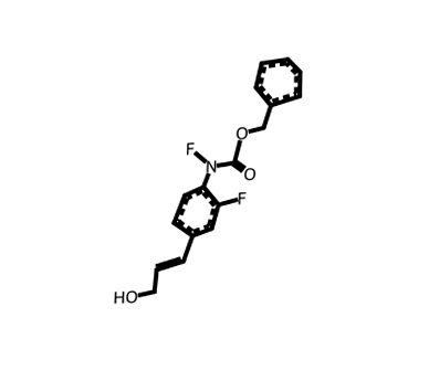 O=C(OCc1ccccc1)N(F)c1ccc(C=CCO)cc1F